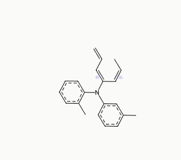 C=C/C=C(\C=C/C)N(c1cccc(C)c1)c1ccccc1C